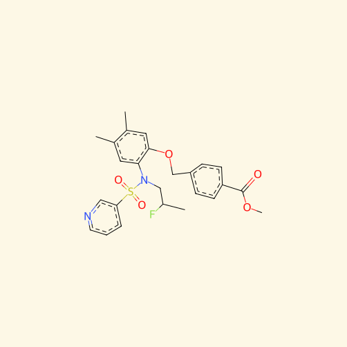 COC(=O)c1ccc(COc2cc(C)c(C)cc2N(CC(C)F)S(=O)(=O)c2cccnc2)cc1